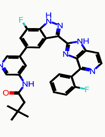 CC(C)(C)CC(=O)Nc1cncc(-c2cc(F)c3[nH]nc(-c4nc5c(-c6ccccc6F)nccc5[nH]4)c3c2)c1